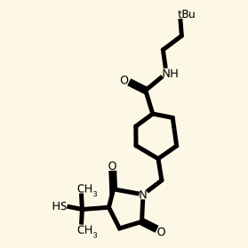 CC(C)(C)CCNC(=O)C1CCC(CN2C(=O)CC(C(C)(C)S)C2=O)CC1